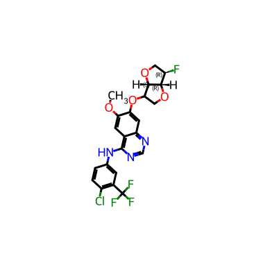 COc1cc2c(Nc3ccc(Cl)c(C(F)(F)F)c3)ncnc2cc1OC1CO[C@H]2[C@H](F)CO[C@@H]12